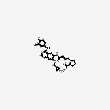 COC(=O)C1CCCN1C/C=C/C(=O)Nc1cc2c(Nc3ccc(F)c(Cl)c3)ncnc2cc1OCC1CC1